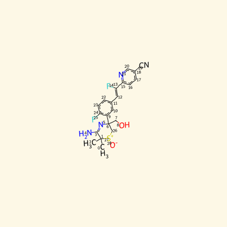 CC1(C)C(N)=NC(CO)(c2cc(/C=C(\F)c3ccc(C#N)cn3)ccc2F)C[S+]1[O-]